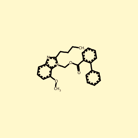 CCCCc1nc2cccc(OC)c2n1COC(=O)c1ccccc1-c1ccccc1